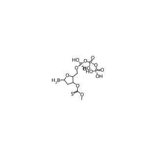 BC1CC(OC(=S)OC)C(COP(=O)(O)OP(=O)(O)OP(=O)(O)O)O1